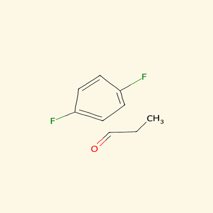 CCC=O.Fc1ccc(F)cc1